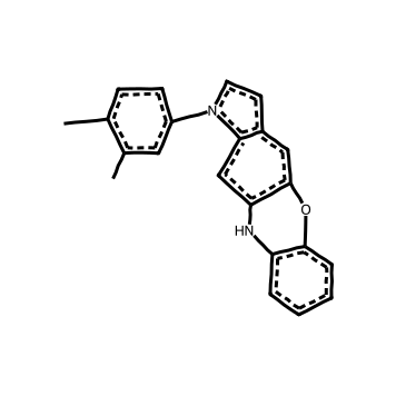 Cc1ccc(-n2ccc3cc4c(cc32)Nc2ccccc2O4)cc1C